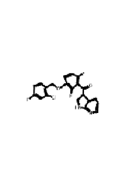 O=C(c1c(F)ccc(OCc2ccc(F)cc2Cl)c1F)C1CNc2ncccc21